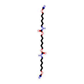 N#COCCCCCCNC(=O)OCCCCCCOC(=O)NCCCCCCOC#N